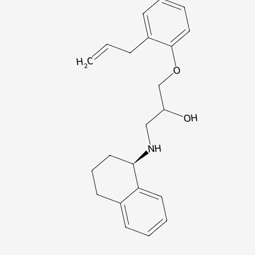 C=CCc1ccccc1OCC(O)CN[C@@H]1CCCc2ccccc21